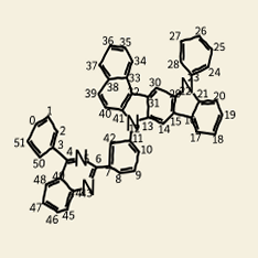 c1ccc(-c2nc(-c3cccc(-n4c5cc6c7ccccc7n(-c7ccccc7)c6cc5c5c6ccccc6ccc54)c3)nc3ccccc23)cc1